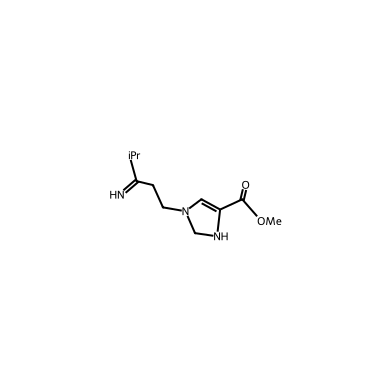 COC(=O)C1=CN(CCC(=N)C(C)C)CN1